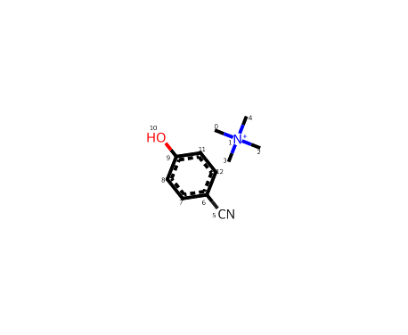 C[N+](C)(C)C.N#Cc1ccc(O)cc1